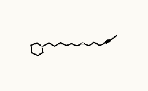 CC#CCCCOCCCCCCN1CCCCC1